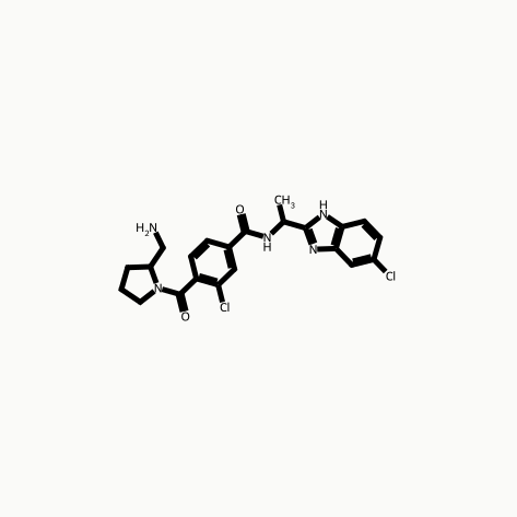 CC(NC(=O)c1ccc(C(=O)N2CCCC2CN)c(Cl)c1)c1nc2cc(Cl)ccc2[nH]1